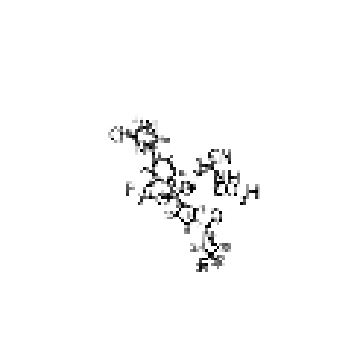 N#CC1(NC(=O)O)CC1.O=C([C@@H]1CC[C@@H](S(=O)(=O)c2ccc(-c3cncc(Cl)n3)cc2C(F)(F)F)C1)N1CC(F)(F)C1